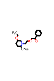 COC1CCC(OCC(F)(F)F)CN1CCOCC(=O)c1ccccc1